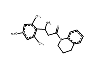 COc1cc(C)c(C(N)CC(=O)N2CCCc3ccccc32)c(C)c1